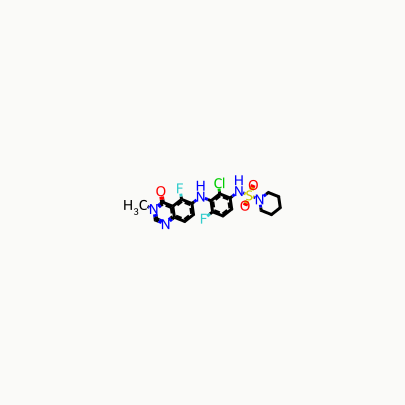 Cn1cnc2ccc(Nc3c(F)ccc(NS(=O)(=O)N4CCCCC4)c3Cl)c(F)c2c1=O